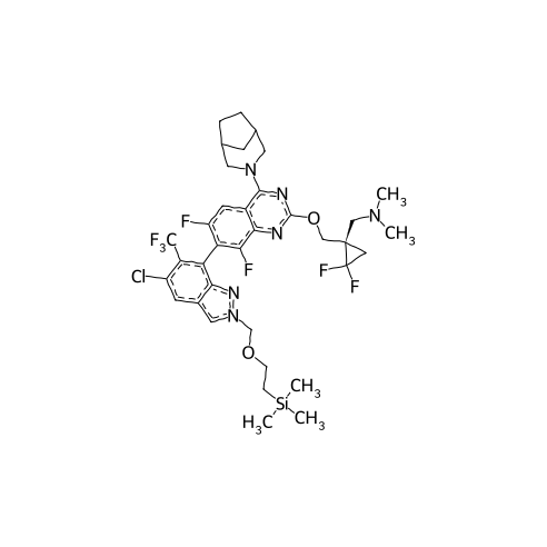 CN(C)C[C@@]1(COc2nc(N3CC4CCC(C4)C3)c3cc(F)c(-c4c(C(F)(F)F)c(Cl)cc5cn(COCC[Si](C)(C)C)nc45)c(F)c3n2)CC1(F)F